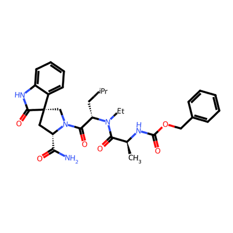 CCN(C(=O)[C@H](C)NC(=O)OCc1ccccc1)[C@@H](CC(C)C)C(=O)N1C[C@]2(C[C@H]1C(N)=O)C(=O)Nc1ccccc12